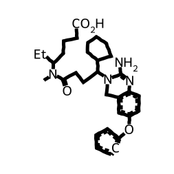 CCC(CCCC(=O)O)N(C)C(=O)CCC(C1CCCCC1)N1Cc2cc(Oc3ccccc3)ccc2N=C1N